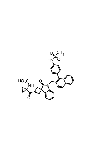 CS(=O)(=O)Nc1ccc(-c2c(CN3C(=O)C4(CN(C(=O)C5(NC(=O)O)CC5)C4)c4ccccc43)ncc3ccccc23)cc1